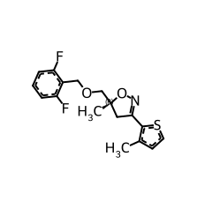 Cc1ccsc1C1=NO[C@@](C)(COCc2c(F)cccc2F)C1